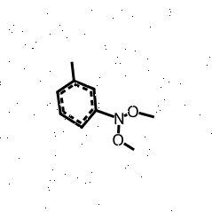 CON(OC)c1cccc(C)c1